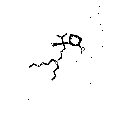 CCCCCCN(CCCC)CCCC(C#N)(c1cccc(OC)c1)C(C)C